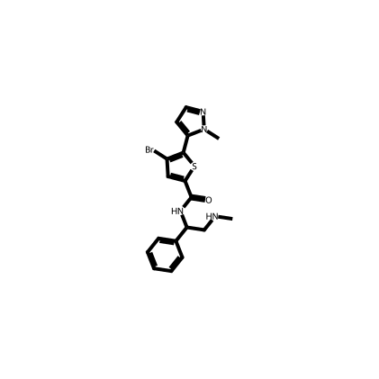 CNCC(NC(=O)c1cc(Br)c(-c2ccnn2C)s1)c1ccccc1